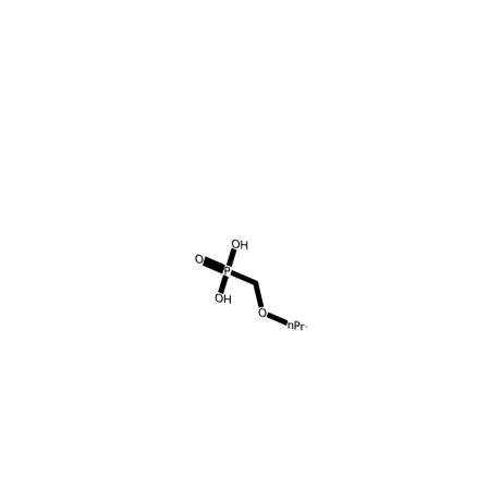 CC[CH]OCP(=O)(O)O